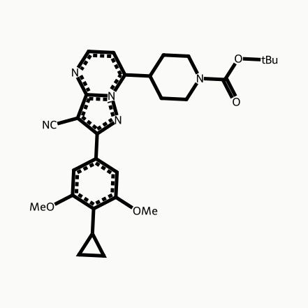 COc1cc(-c2nn3c(C4CCN(C(=O)OC(C)(C)C)CC4)ccnc3c2C#N)cc(OC)c1C1CC1